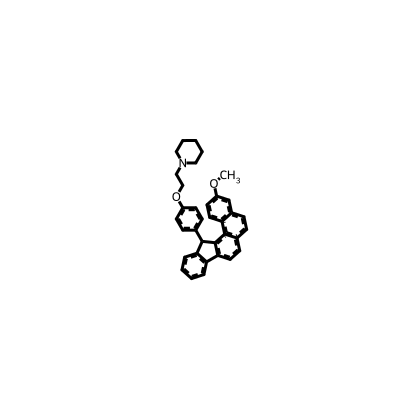 COc1ccc2c(ccc3ccc4c(c32)C(c2ccc(OCCN3CCCCC3)cc2)c2ccccc2-4)c1